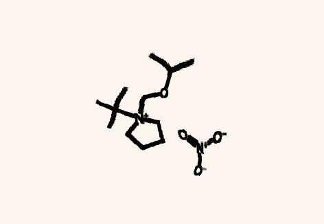 CC(C)OC[N+]1(C(C)(C)C)CCCC1.O=[N+]([O-])[O-]